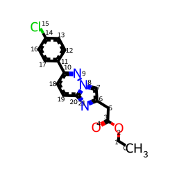 CCOC(=O)Cc1cn2nc(-c3ccc(Cl)cc3)ccc2n1